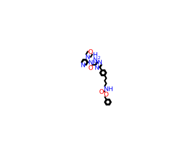 Nc1ncc(-c2ccc(CCCCNC(=O)OCc3ccccc3)cc2)nc1C(=O)Nc1cnccc1N1CCOCC1